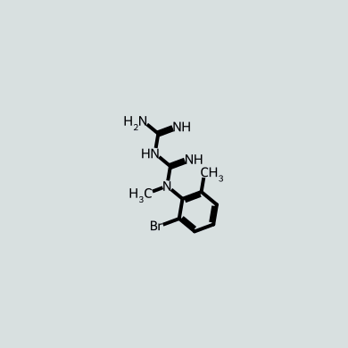 Cc1cccc(Br)c1N(C)C(=N)NC(=N)N